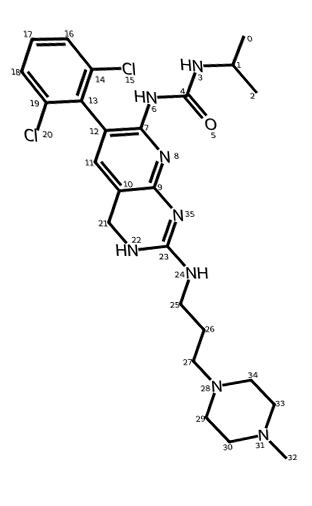 CC(C)NC(=O)Nc1nc2c(cc1-c1c(Cl)cccc1Cl)CNC(NCCCN1CCN(C)CC1)=N2